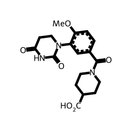 COc1ccc(C(=O)N2CCC(C(=O)O)CC2)cc1N1CCC(=O)NC1=O